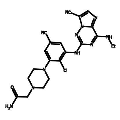 CCNc1nc(Nc2cc(C#N)cc(N3CCN(CC(N)=O)CC3)c2Cl)nn2c(C#N)cnc12